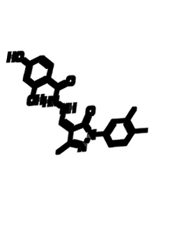 CC1=NN(c2ccc(C)c(C)c2)C(=O)/C1=C\NNC(=O)c1ccc(O)cc1O